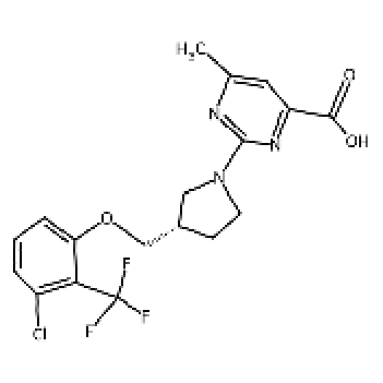 Cc1cc(C(=O)O)nc(N2CC[C@H](COc3cccc(Cl)c3C(F)(F)F)C2)n1